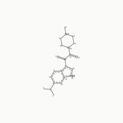 CC(C)c1ccc2c(C(=O)C(=O)N3CCN(C)CC3)c[nH]c2c1